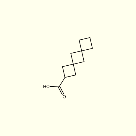 O=C(O)C1CC2(C1)CC1(CCC1)C2